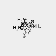 C=Cc1cccc(C(C(=O)ON)C(O)(CC(=O)ON)C(=O)ON)c1